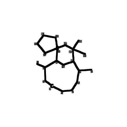 CC1CCCCCC(C)C2CC1C(C)(C)CS21CCCC1